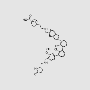 COc1nc(-c2cccc(-c3cccc(N4Cc5cnc(CNCCC67CCC(C(=O)O)(CC6)C7)nc5C4)c3Cl)c2Cl)ccc1CNC[C@@H]1CCC(=O)N1